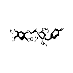 C[C@@H]1CN(Cc2ccc(F)cc2)[C@@H](C)CN1C(=O)COc1cc(N)c(Cl)cc1C(=O)O